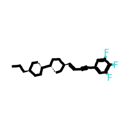 CCC[C@H]1CC[C@H]([C@H]2CC[C@H](C=CC#Cc3cc(F)c(F)c(F)c3)CC2)CC1